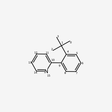 CC(C)(C)c1ccccc1-c1ccccn1